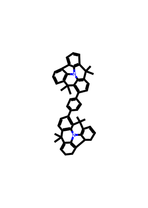 CC1(C)C2=CCCC3=C2N2C4=C(C=CCC34)C(C)(C)c3c(-c4ccc(-c5ccc6c7c5C(C)(C)c5cccc8c9cccc(c9n-7c58)C6(C)C)cc4)ccc1c32